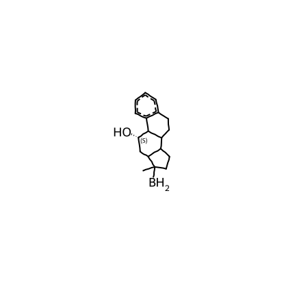 BC1(C)CCC2C3CCc4ccccc4C3[C@@H](O)CC21